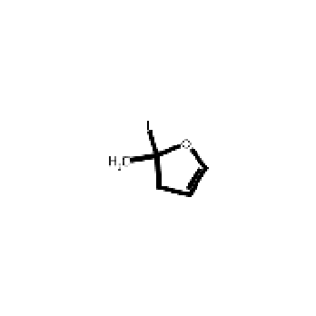 CC1(I)CC=CO1